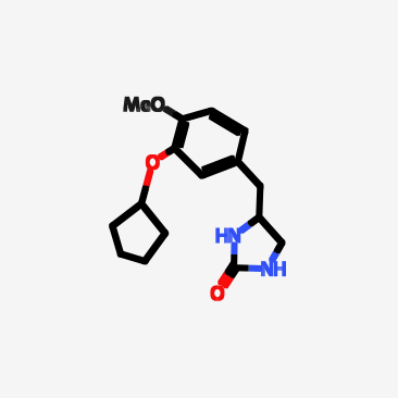 COc1ccc(CC2CNC(=O)N2)cc1OC1CCCC1